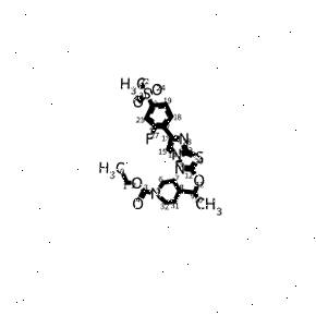 CCOC(=O)N1CCC(C(C)Oc2nn3cc(-c4ccc(S(C)(=O)=O)cc4F)nc3s2)CC1